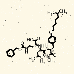 CNC(=O)[C@H](Cc1ccc(OCCCCCC(C)C)cc1)NC(=O)[C@H](CC(C)C)N[C@H](CCNC(=O)OCc1ccccc1)C(=O)O